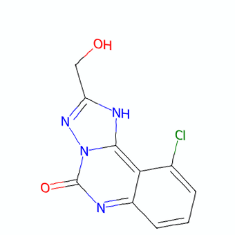 O=c1nc2cccc(Cl)c2c2[nH]c(CO)nn12